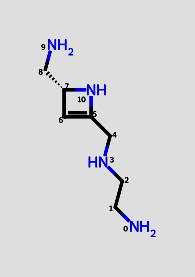 NCCNCC1=C[C@H](CN)N1